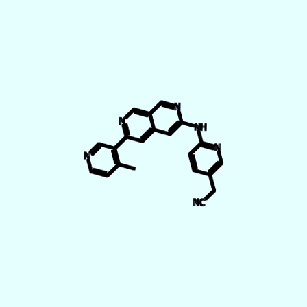 Cc1ccncc1-c1cc2cc(Nc3ccc(CC#N)cn3)ncc2cn1